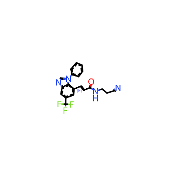 N#CCCNC(=O)/C=C/c1cc(C(F)(F)F)cc2ncn(-c3ccccc3)c12